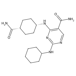 NC(=O)c1cnc(NC2CCCCC2)nc1N[C@H]1CC[C@@H](C(N)=O)CC1